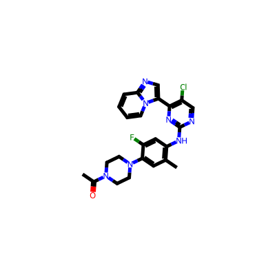 CC(=O)N1CCN(c2cc(C)c(Nc3ncc(Cl)c(-c4cnc5ccccn45)n3)cc2F)CC1